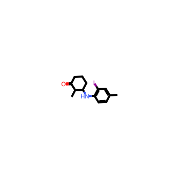 Cc1ccc(NC2CCCC(=O)C2C)c(I)c1